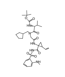 C=CC1CC1(NC(=O)CN(CC1CCCC1)C(=O)[C@@H](NC(=O)OC(C)(C)C)C(C)C)C(=O)NS(=O)(=O)c1ccccc1NC